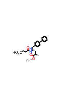 CCCOC(=O)[C@H](C)C[C@@H](Cc1ccc(-c2ccccc2)cc1)NC(=O)CCC(=O)O